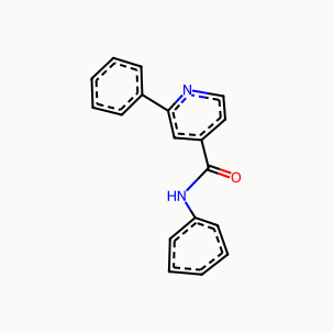 O=C(Nc1ccccc1)c1ccnc(-c2ccccc2)c1